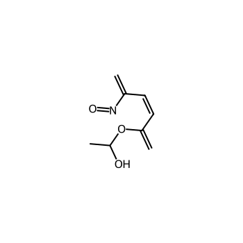 C=C(/C=C\C(=C)OC(C)O)N=O